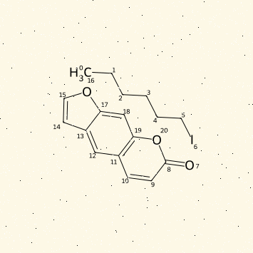 CCCCCCI.O=c1ccc2cc3ccoc3cc2o1